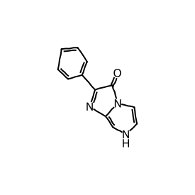 O=c1c(-c2ccccc2)nc2c[nH]ccn1-2